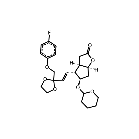 O=C1C[C@@H]2[C@@H](/C=C/C3(COc4ccc(F)cc4)OCCO3)[C@H](OC3CCCCO3)C[C@@H]2O1